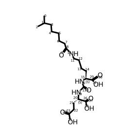 CC(C)CCCCCC(=O)NCCCC[C@H](NC(=O)N[C@@H](CCC(=O)O)C(=O)O)C(=O)O